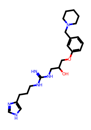 N=C(NCCCc1c[nH]cn1)NCC(O)COc1cccc(CN2CCCCC2)c1